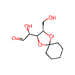 O=C[C@@H](O)[C@@H]1OC2(CCCCC2)O[C@@H]1CO